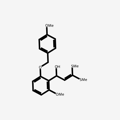 COc1ccc(COc2cccc(OC)c2C(O)C=C(SC)SC)cc1